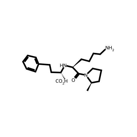 C[C@@H]1CCCN1C(=O)[C@H](CCCCN)N[C@@H](CCc1ccccc1)C(=O)O